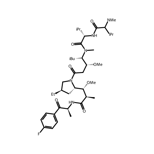 CC[C@@H]1C[C@@H]([C@H](OC)[C@@H](C)C(=O)N[C@@H](C)C(=O)c2ccc(F)cc2)N(C(=O)C[C@@H](OC)C([C@@H](C)CC)N(C)C(=O)[C@@H](NC(=O)C(NC)C(C)C)C(C)C)C1